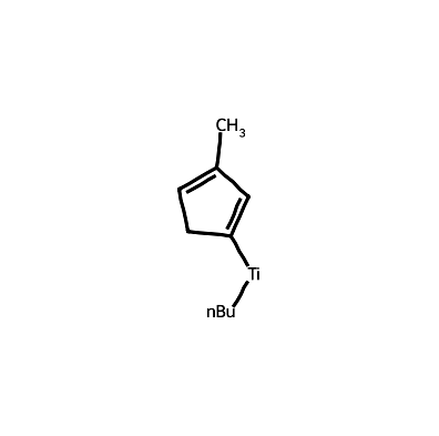 CCC[CH2][Ti][C]1=CC(C)=CC1